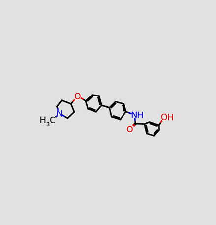 CN1CCC(Oc2ccc(-c3ccc(NC(=O)c4cccc(O)c4)cc3)cc2)CC1